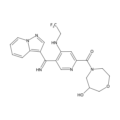 N=C(c1cnc(C(=O)N2CCOCC(O)C2)cc1NCC(F)(F)F)c1cnn2ccccc12